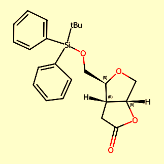 CC(C)(C)[Si](OC[C@H]1OC[C@@H]2OC(=O)C[C@@H]21)(c1ccccc1)c1ccccc1